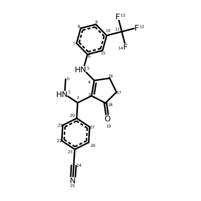 CNC(C1=C(Nc2cccc(C(F)(F)F)c2)CCC1=O)c1ccc(C#N)cc1